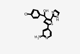 Nc1cc(-c2cc(C(O)c3ccc(Cl)cc3)c(-c3ncc[nH]3)s2)ccn1